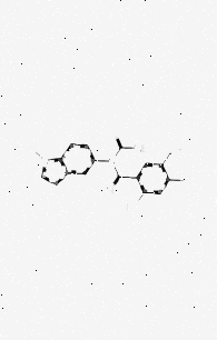 CCCn1ccc2cc(N(C(=N)c3cc(C(C)C)c(O)cc3O)C(N)=O)ccc21